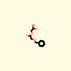 CC(C)C(=O)COC(=O)COCc1ccccc1